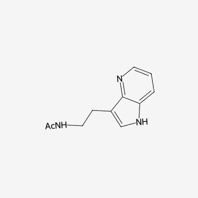 CC(=O)NCCc1c[nH]c2cccnc12